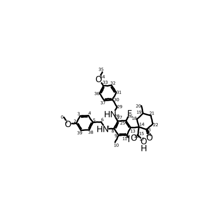 COc1ccc(CNc2c(C)c(I)c(C3(C(=O)O)CC(C)CCC3=O)c(F)c2NCc2ccc(OC)cc2)cc1